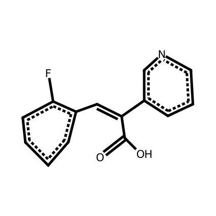 O=C(O)C(=Cc1ccccc1F)c1cccnc1